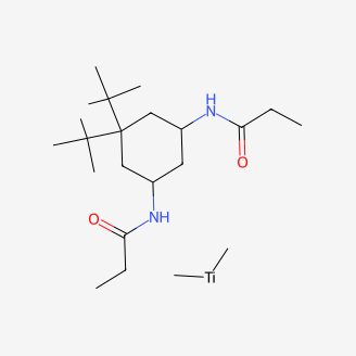 CCC(=O)NC1CC(NC(=O)CC)CC(C(C)(C)C)(C(C)(C)C)C1.[CH3][Ti][CH3]